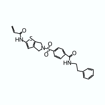 C=CC(=O)Nc1cc2c(s1)CN(S(=O)(=O)c1ccc(C(=O)NCCc3ccccc3)cc1)C2